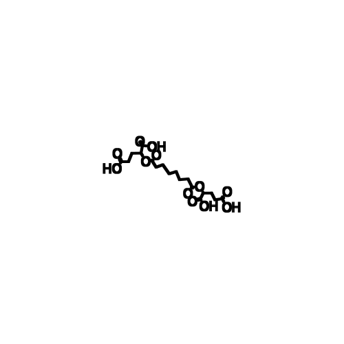 O=C(O)CCC(OC(=O)CCCCCCC(=O)OC(CCC(=O)O)C(=O)O)C(=O)O